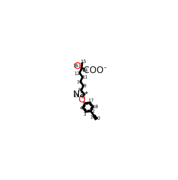 C#Cc1ccc(OCCCCCCC2(C(=O)[O-])CO2)cc1.[Na+]